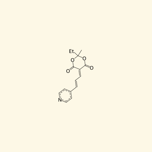 CCC1(C)OC(=O)C(=C/C=C/c2ccncc2)C(=O)O1